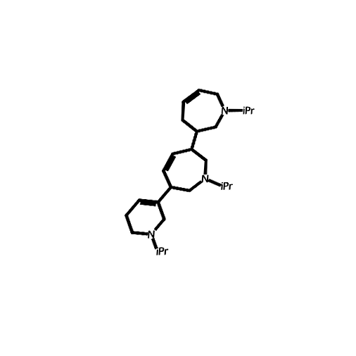 CC(C)N1CCC=C(C2C=CC(C3CC=CCN(C(C)C)C3)CN(C(C)C)C2)C1